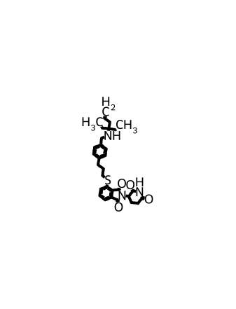 C=CCC(CC)(CC)NCc1ccc(CCCSc2cccc3c2C(=O)N(C2CCC(=O)NC2=O)C3=O)cc1